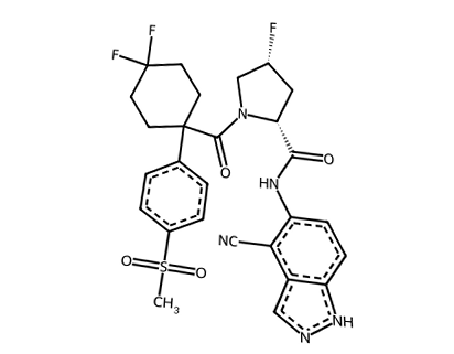 CS(=O)(=O)c1ccc(C2(C(=O)N3C[C@H](F)C[C@@H]3C(=O)Nc3ccc4[nH]ncc4c3C#N)CCC(F)(F)CC2)cc1